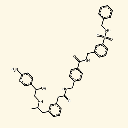 CC(Cc1cccc(CC(=O)NCc2ccc(C(=O)NCc3cccc(S(=O)(=O)NCc4ccccc4)c3)cc2)c1)NCC(O)c1ccc(N)nc1